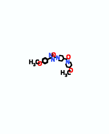 COc1ccc(-c2noc(N3CCC(C(=O)N4CCC(OC)CC4)CC3)n2)cc1